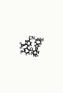 N#Cc1ccc(-c2cc(F)ccc2Oc2nncnc2N2CC3(CCNCC3)C2)c(C2CC2)n1